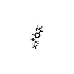 C=C(c1ccc(NC(=O)OC(C)(C)C)c(C)c1)C(F)(F)F